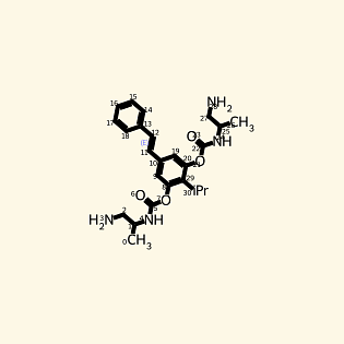 CC(CN)NC(=O)Oc1cc(/C=C/c2ccccc2)cc(OC(=O)NC(C)CN)c1C(C)C